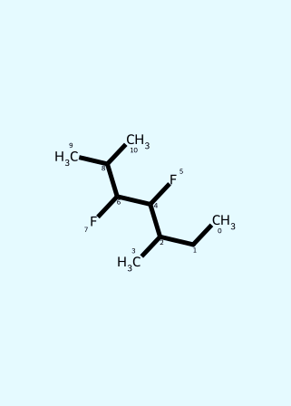 CCC(C)C(F)C(F)C(C)C